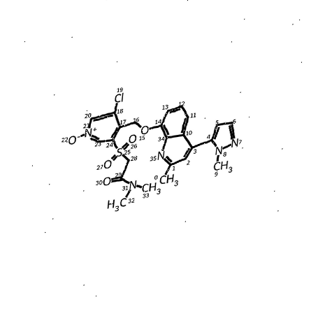 Cc1cc(-c2ccnn2C)c2cccc(OCc3c(Cl)c[n+]([O-])cc3S(=O)(=O)CC(=O)N(C)C)c2n1